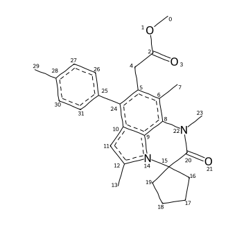 COC(=O)Cc1c(C)c2c3c(cc(C)n3C3(CCCC3)C(=O)N2C)c1-c1ccc(C)cc1